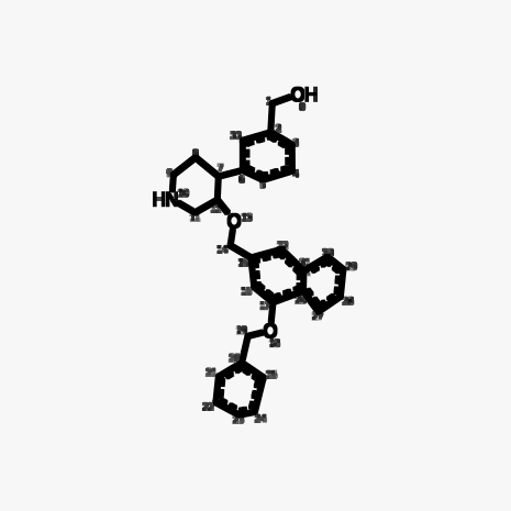 OCc1cccc(C2CCNCC2OCc2cc(OCc3ccccc3)c3ccccc3c2)c1